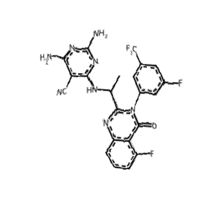 CC(Nc1nc(N)nc(N)c1C#N)c1nc2cccc(F)c2c(=O)n1-c1cc(F)cc(C(F)(F)F)c1